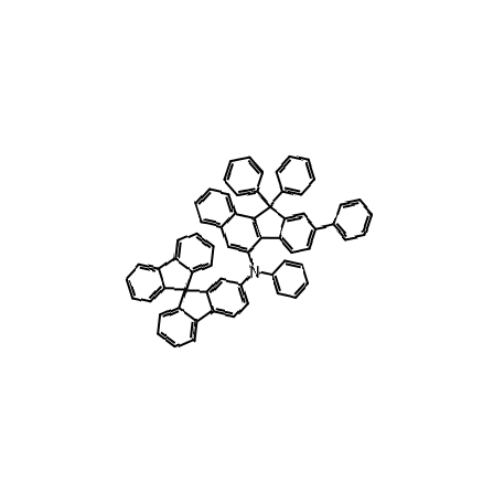 c1ccc(-c2ccc3c(c2)C(c2ccccc2)(c2ccccc2)c2c-3c(N(c3ccccc3)c3ccc4c(c3)C3(c5ccccc5-c5ccccc53)c3ccccc3-4)cc3ccccc23)cc1